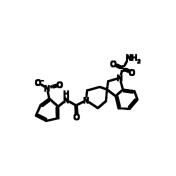 NS(=O)(=O)N1CC2(CCN(C(=O)Nc3ccccc3[N+](=O)[O-])CC2)c2ccccc21